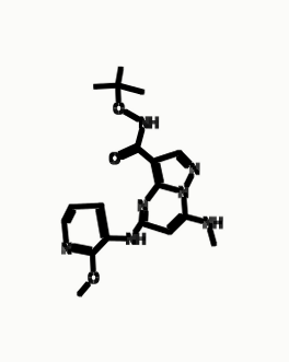 CNc1cc(Nc2cccnc2OC)nc2c(C(=O)NOC(C)(C)C)cnn12